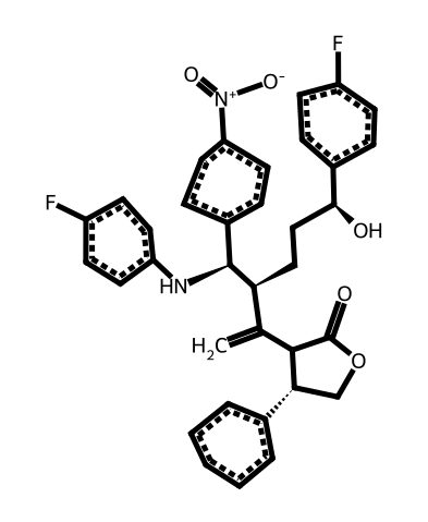 C=C(C1C(=O)OC[C@@H]1c1ccccc1)[C@H](CC[C@H](O)c1ccc(F)cc1)[C@@H](Nc1ccc(F)cc1)c1ccc([N+](=O)[O-])cc1